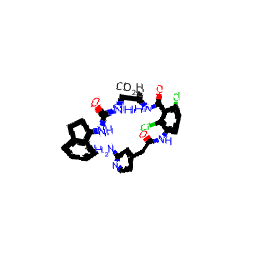 Nc1cc(CC(=O)Nc2ccc(Cl)c(C(=O)NC(CNC(=O)NC3CCc4ccccc43)C(=O)O)c2Cl)ccn1